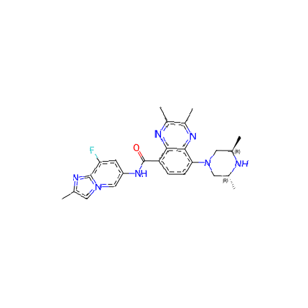 Cc1cn2cc(NC(=O)c3ccc(N4C[C@@H](C)N[C@H](C)C4)c4nc(C)c(C)nc34)cc(F)c2n1